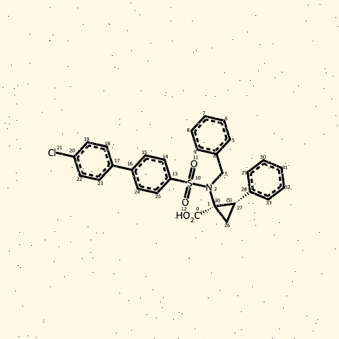 O=C(O)[C@@]1(N(Cc2ccccc2)S(=O)(=O)c2ccc(-c3ccc(Cl)cc3)cc2)C[C@H]1c1ccccc1